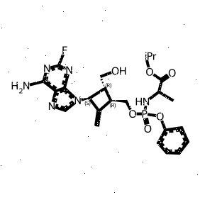 C=C1[C@@H](n2cnc3c(N)nc(F)nc32)[C@H](CO)[C@H]1COP(=O)(NC(C)C(=O)OC(C)C)Oc1ccccc1